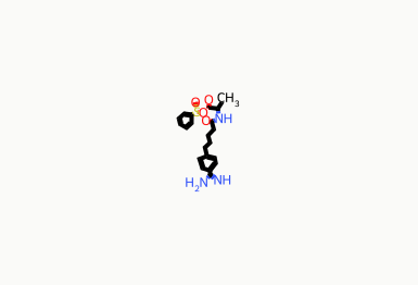 CCC(NC(=O)CCCCc1ccc(C(=N)N)cc1)C(=O)OS(=O)c1ccccc1